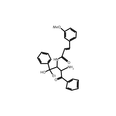 CCC(O)(c1ccccc1)C(NC(=O)C=Cc1cccc(OC)c1)C(N)C(=O)c1ccccc1